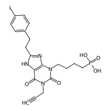 C#CCn1c(=O)c2[nH]c(CCc3ccc(I)cc3)nc2n(CCCCP(=O)(O)O)c1=O